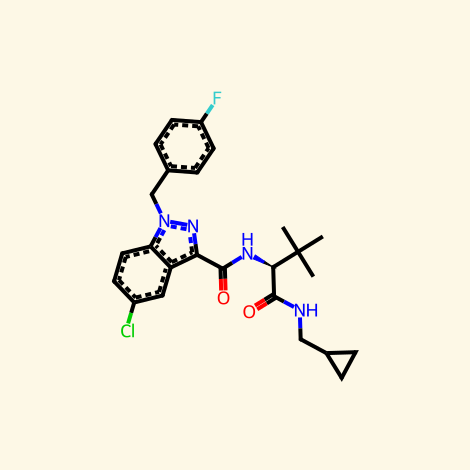 CC(C)(C)[C@H](NC(=O)c1nn(Cc2ccc(F)cc2)c2ccc(Cl)cc12)C(=O)NCC1CC1